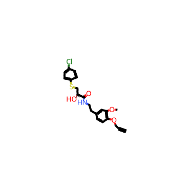 C#CCOc1ccc(CCNC(=O)[C@H](O)CSc2ccc(Cl)cc2)cc1OC